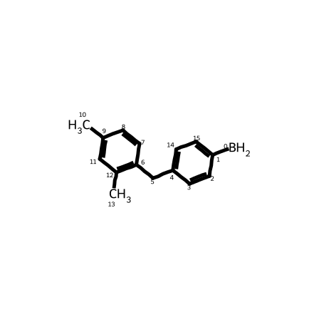 Bc1ccc(Cc2ccc(C)cc2C)cc1